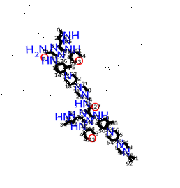 Cc1cc(-c2nc(C(N)=O)c(Nc3ccc(N4CCC(N5CCN(CNC(=O)c6nc(-c7cc(C)[nH]n7)c(NC7CCOCC7)nc6Nc6ccc(N7CCC(N8CCN(C9CC9)CC8)CC7)c(C)c6)CC5)CC4)c(C)c3)nc2NC2CCOCC2)n[nH]1